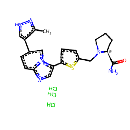 Cc1n[nH]cc1-c1ccc2ncc(-c3ccc(CN4CCC[C@H]4C(N)=O)s3)n2c1.Cl.Cl.Cl